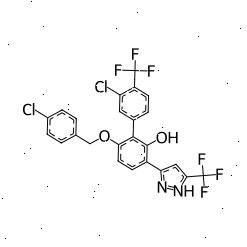 Oc1c(-c2cc(C(F)(F)F)[nH]n2)ccc(OCc2ccc(Cl)cc2)c1-c1ccc(C(F)(F)F)c(Cl)c1